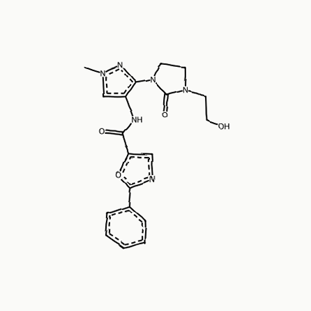 Cn1cc(NC(=O)c2cnc(-c3ccccc3)o2)c(N2CCN(CCO)C2=O)n1